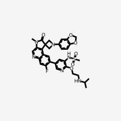 CC(C)NCCOc1ncc(-c2cc3c4c(cnc3cc2F)N(C)C(=O)C42CN(c3ccc4c(c3)OCO4)C2)cc1NS(C)(=O)=O